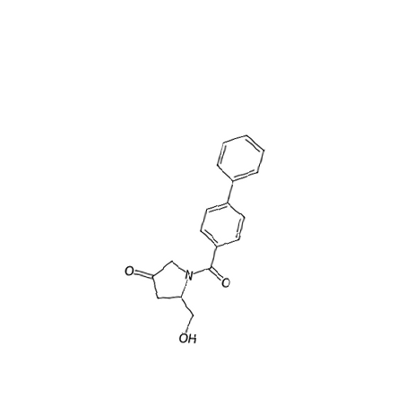 O=C1CC(CO)N(C(=O)c2ccc(-c3ccccc3)cc2)C1